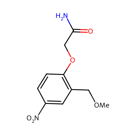 COCc1cc([N+](=O)[O-])ccc1OCC(N)=O